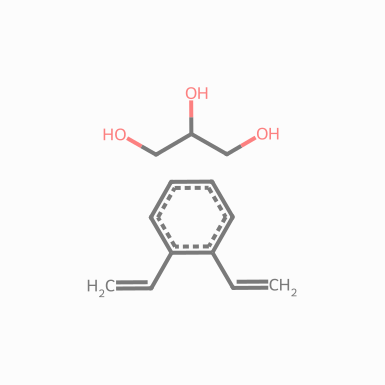 C=Cc1ccccc1C=C.OCC(O)CO